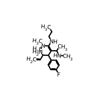 C=CC(N)C(/C(=C(/NCCC)N(C)C)C(C)NC)c1ccc(F)cc1